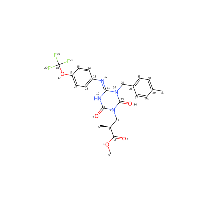 COC(=O)[C@@H](C)Cn1c(=O)[nH]/c(=N\c2ccc(OC(F)(F)F)cc2)n(Cc2ccc(C)cc2)c1=O